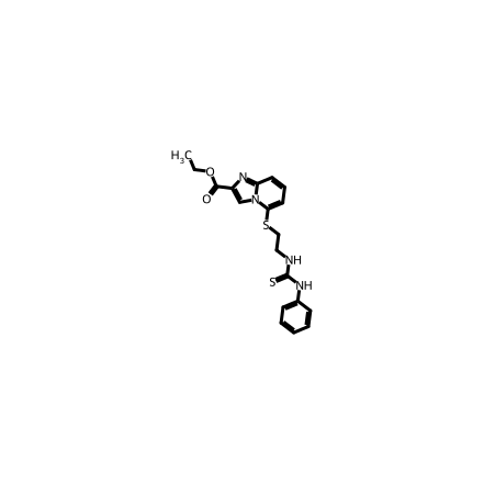 CCOC(=O)c1cn2c(SCCNC(=S)Nc3ccccc3)cccc2n1